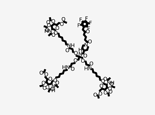 CC(=O)NC1C(OCCCCCCNC(=O)CCOCC(COCCC(=O)NCCCCCCOC2OC(COC(C)=O)C(OC(C)=O)C(OC(C)=O)C2NC(C)=O)(COCCC(=O)NCCCCCCOC2OC(COC(C)=O)C(OC(C)=O)C(OC(C)=O)C2NC(C)=O)NC(=O)C2CCN(C(=O)CCCC(=O)Cc3c(F)c(F)c(F)c(F)c3F)CC2)OC(COC(C)=O)C(OC(C)=O)C1OC(C)=O